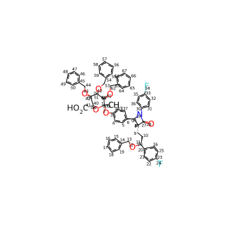 C[C@@]1(Oc2ccc([C@@H]3[C@@H](CC[C@H](OCc4ccccc4)c4ccc(F)cc4)C(=O)N3c3ccc(F)cc3)cc2)O[C@H](C(=O)O)[C@@H](OCc2ccccc2)[C@H](OCc2ccccc2)[C@H]1OCc1ccccc1